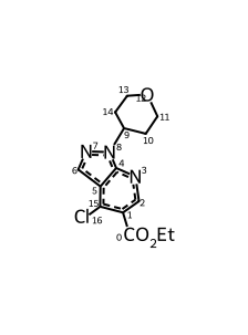 CCOC(=O)c1cnc2c(cnn2C2CCOCC2)c1Cl